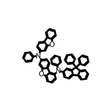 c1ccc(N(c2ccc3c(c2)oc2ccccc23)c2ccc3c(c2)oc2cccc(N(c4ccccc4)c4ccc5c(c4)C(c4ccccc4)(c4ccccc4)c4ccccc4-5)c23)cc1